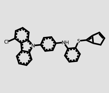 Clc1cccc2c1c1ccccc1n2-c1ccc(Nc2ccccc2SC2=C3C=CCC32)cc1